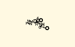 O=C(NC[C@]1(c2ccccc2F)[C@@H]2CCN(c3cnc(I)cn3)C[C@@H]21)OCc1ccccc1